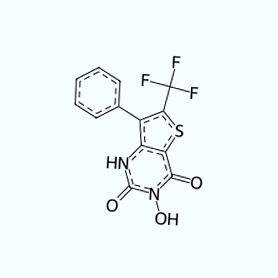 O=c1[nH]c2c(-c3ccccc3)c(C(F)(F)F)sc2c(=O)n1O